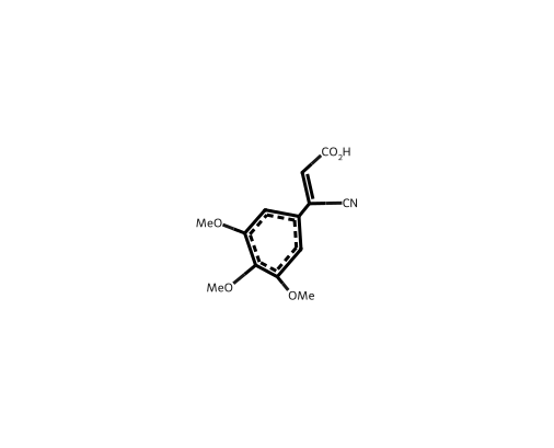 COc1cc(C(C#N)=CC(=O)O)cc(OC)c1OC